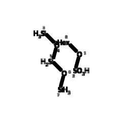 CCCCCCOS(=O)(=O)O.[SiH3]O[SiH2]O[SiH3]